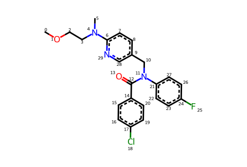 COCCN(C)c1ccc(CN(C(=O)c2ccc(Cl)cc2)c2ccc(F)cc2)cn1